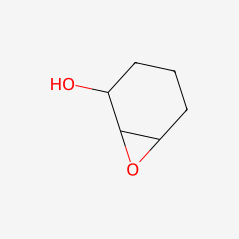 OC1CCCC2OC12